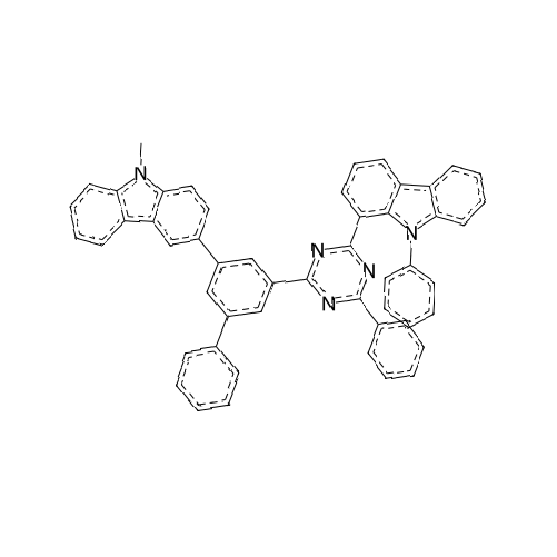 Cn1c2ccccc2c2cc(-c3cc(-c4ccccc4)cc(-c4nc(-c5ccccc5)nc(-c5cccc6c7ccccc7n(-c7ccccc7)c56)n4)c3)ccc21